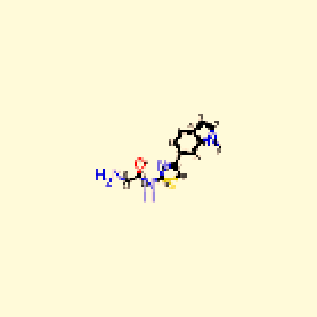 Cn1ccc2ccc(-c3csc(NC(=O)CN)n3)cc21